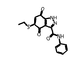 CCSC1=CC(=O)c2[nH]nc(C(=O)Nc3ccccc3)c2C1=O